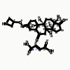 C[C@]12CCC(=NOC3CNC3)CC1C(=O)C[C@@H]1[C@@H]2CC[C@]2(C)C(=O)CC[C@@H]12.O=C(O)/C=C/C(=O)O